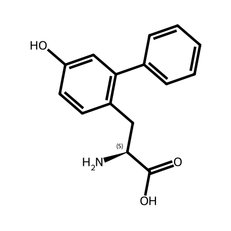 N[C@@H](Cc1ccc(O)cc1-c1ccccc1)C(=O)O